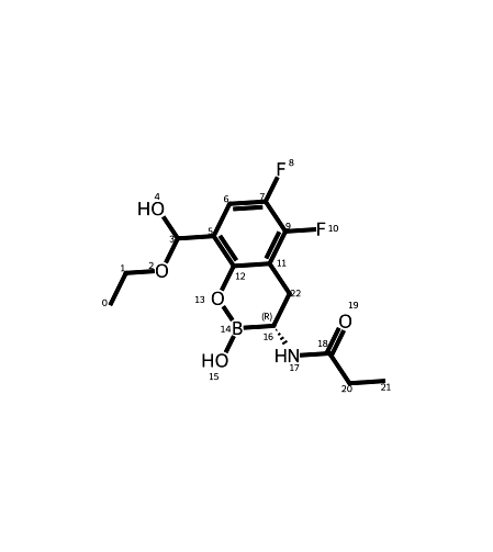 CCOC(O)c1cc(F)c(F)c2c1OB(O)[C@@H](NC(=O)CC)C2